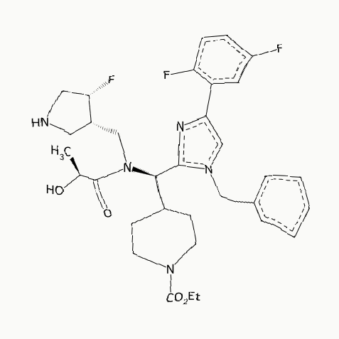 CCOC(=O)N1CCC([C@H](c2nc(-c3cc(F)ccc3F)cn2Cc2ccccc2)N(C[C@@H]2CNC[C@@H]2F)C(=O)[C@H](C)O)CC1